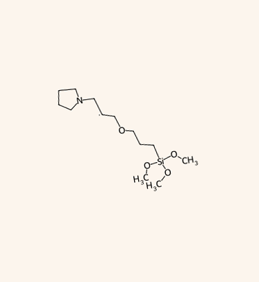 CO[Si](CCCOC[CH]CN1CCCC1)(OC)OC